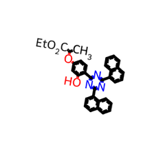 CCOC(=O)C(C)Oc1ccc(-c2nc(-c3cccc4ccccc34)nc(-c3cccc4ccccc34)n2)c(O)c1